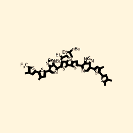 CCCCC(CC)C[Si]1(CC(CC)CCCC)c2cc(-c3ncc(-c4cc(C)c(-c5cc(C)c(C)s5)s4)c4nsnc34)sc2-c2sc(-c3ncc(-c4cc(C)c(-c5cc(C)c(C(F)(F)F)s5)s4)c4nsnc34)cc21